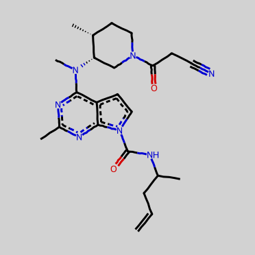 C=CCC(C)NC(=O)n1ccc2c(N(C)[C@H]3CN(C(=O)CC#N)CC[C@H]3C)nc(C)nc21